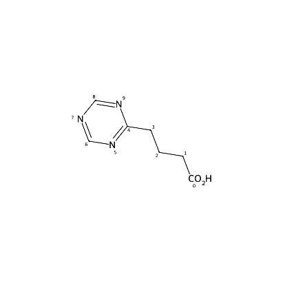 O=C(O)CCCc1ncncn1